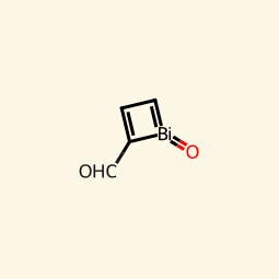 O=C[C]1=C[CH]=[Bi]1=[O]